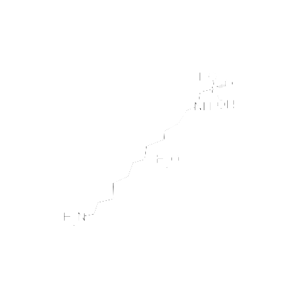 NCCCCCCCCCCCCNCP(=O)(O)O.O